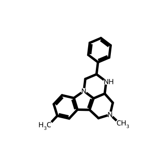 Cc1ccc2c(c1)c1c3n2CC(c2ccccc2)NC3CN(C)C1